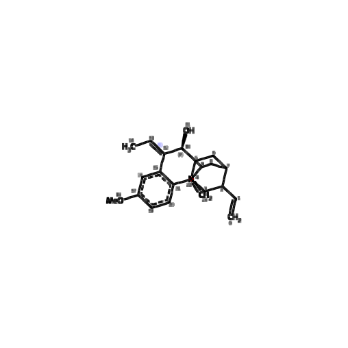 C=CC1CN2CCC1CC2[C@H](O)/C(=C/C)c1cc(OC)ccc1N=C